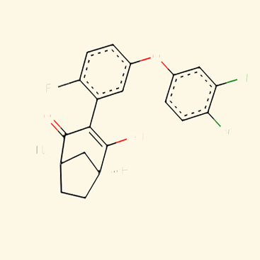 CCc1ccc(Oc2ccc(Br)c(Cl)c2)cc1C1=C(O)[C@H]2CC[C@H](C2)C1=O